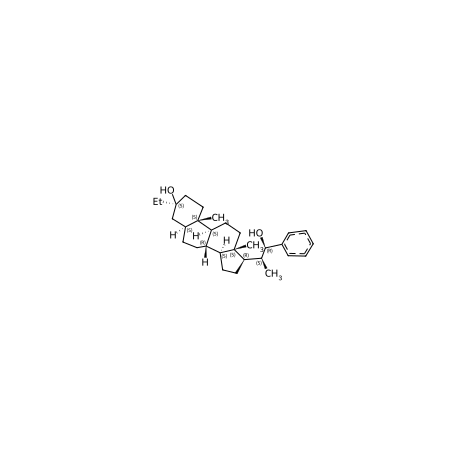 CC[C@]1(O)CC[C@@]2(C)[C@@H](CC[C@@H]3[C@@H]2CC[C@]2(C)[C@@H]([C@H](C)[C@@H](O)c4ccccc4)CC[C@@H]32)C1